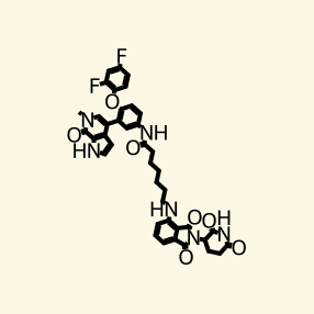 Cn1cc(-c2cc(NC(=O)CCCCCCNc3cccc4c3C(=O)N(C3CCC(=O)NC3=O)C4=O)ccc2Oc2ccc(F)cc2F)c2cc[nH]c2c1=O